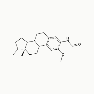 COc1cc2c(cc1NC=O)CCC1C2CC[C@]2(C)C(C)CCC12